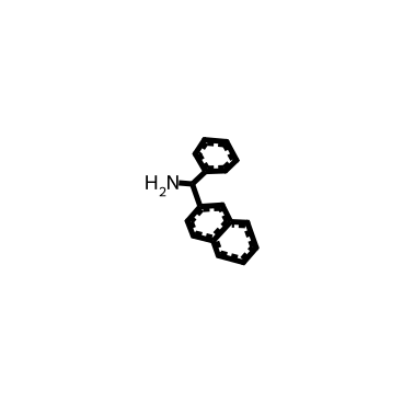 NC(c1ccccc1)c1ccc2ccccc2c1